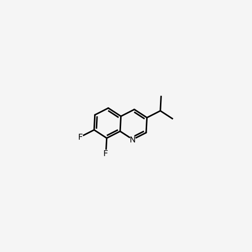 CC(C)c1cnc2c(F)c(F)ccc2c1